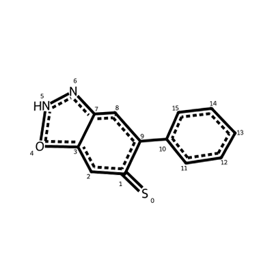 S=c1cc2o[nH]nc-2[c]c1-c1ccccc1